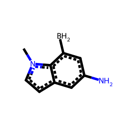 Bc1cc(N)cc2ccn(C)c12